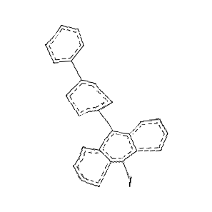 Ic1c2ccccc2c(-c2ccc(-c3ccccc3)cc2)c2ccccc12